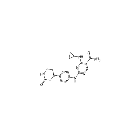 NC(=O)c1cnc(Nc2ccc(N3CCNC(=O)C3)cc2)nc1NC1CC1